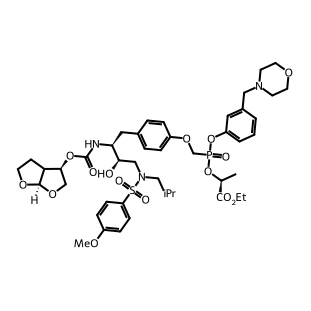 CCOC(=O)[C@H](C)OP(=O)(COc1ccc(C[C@H](NC(=O)O[C@H]2CO[C@H]3OCCC32)[C@H](O)CN(CC(C)C)S(=O)(=O)c2ccc(OC)cc2)cc1)Oc1cccc(CN2CCOCC2)c1